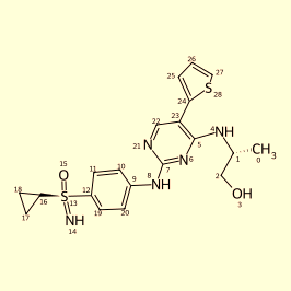 C[C@H](CO)Nc1nc(Nc2ccc([S@](=N)(=O)C3CC3)cc2)ncc1-c1cccs1